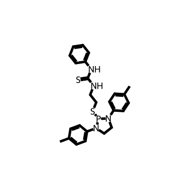 Cc1ccc(N2CCN(c3ccc(C)cc3)P2SCCNC(=S)Nc2ccccc2)cc1